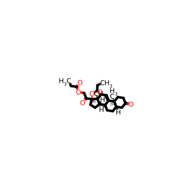 CCC(=O)OCC(=O)[C@@]1(OC(=O)CC)CC[C@H]2[C@@H]3CC[C@H]4CC(=O)CC[C@]4(C)C3=CC[C@@]21C